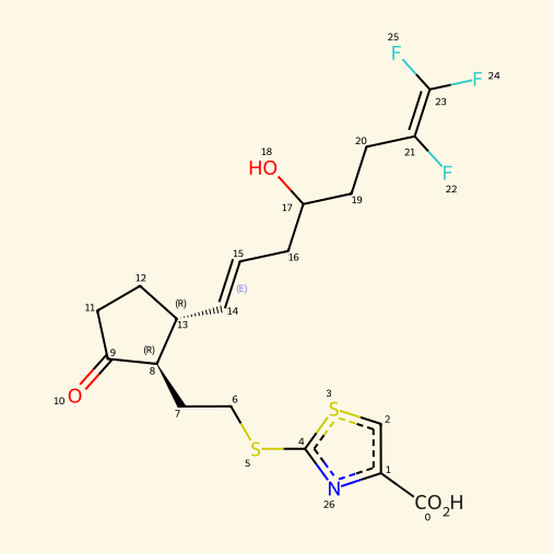 O=C(O)c1csc(SCC[C@H]2C(=O)CC[C@@H]2/C=C/CC(O)CCC(F)=C(F)F)n1